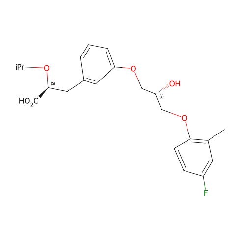 Cc1cc(F)ccc1OC[C@@H](O)COc1cccc(C[C@H](OC(C)C)C(=O)O)c1